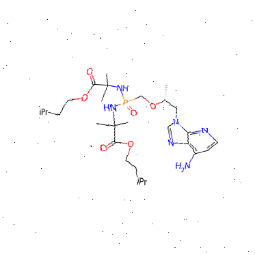 CC(C)CCOC(=O)C(C)(C)NP(=O)(CO[C@H](C)Cn1cnc2c(N)ccnc21)NC(C)(C)C(=O)OCCC(C)C